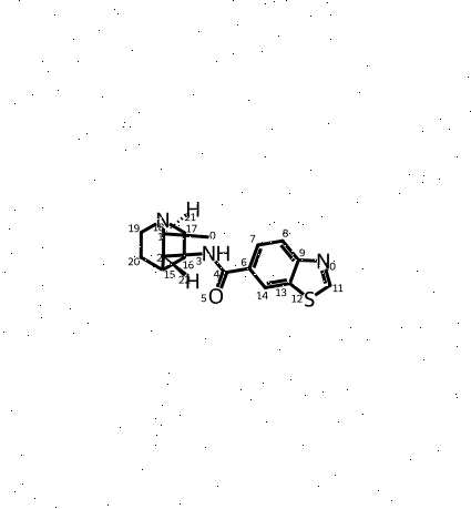 C[C@H]1[C@H](NC(=O)c2ccc3ncsc3c2)C2CCN1CC2